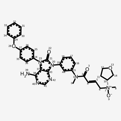 CN(C(=O)/C=C/C[N+](C)([O-])[C@@H]1CCOC1)c1cccc(-n2c(=O)n(-c3ccc(Oc4ccccc4)cc3)c3c(N)ncnc32)c1